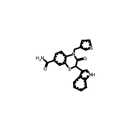 NC(=O)c1ccc2c(c1)SC(c1c[nH]c3ccccc13)C(=O)N2Cc1ccsc1